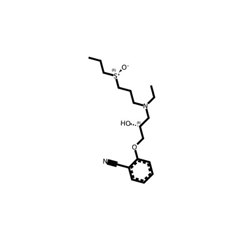 CCC[S@+]([O-])CCCN(CC)C[C@@H](O)COc1ccccc1C#N